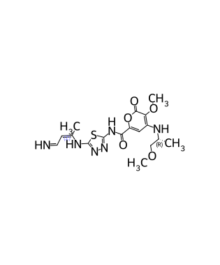 COC[C@@H](C)Nc1cc(C(=O)Nc2nnc(N/C(C)=C\C=N)s2)oc(=O)c1OC